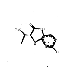 COC(C)[C@@H]1Nc2nc(Cl)ncc2NC1=O